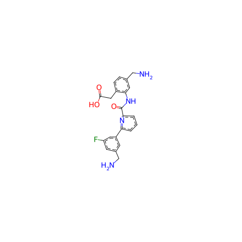 NCc1cc(F)cc(-c2cccc(C(=O)Nc3cc(CN)ccc3CC(=O)O)n2)c1